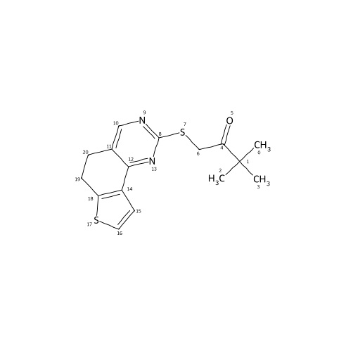 CC(C)(C)C(=O)CSc1ncc2c(n1)-c1ccsc1CC2